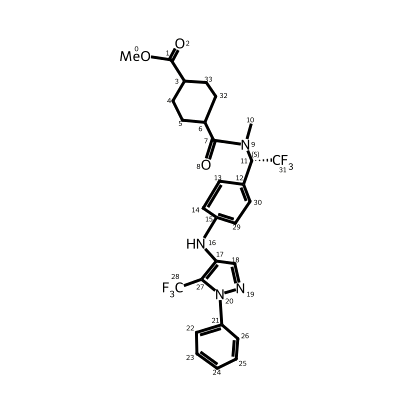 COC(=O)C1CCC(C(=O)N(C)[C@@H](c2ccc(Nc3cnn(-c4ccccc4)c3C(F)(F)F)cc2)C(F)(F)F)CC1